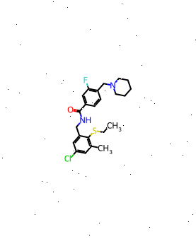 CCSc1c(C)cc(Cl)cc1CNC(=O)c1ccc(CN2CCCCC2)c(F)c1